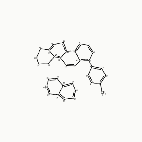 FC(F)(F)c1ccc(-c2cccc3c2ccc2c4c(ccc23)CCCC4)cc1.c1ccc2cnccc2c1